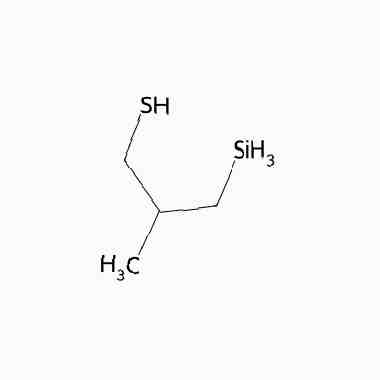 CC(C[SiH3])CS